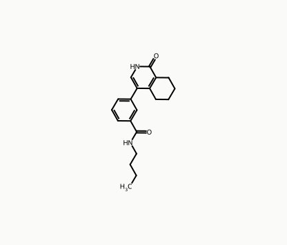 CCCCNC(=O)c1cccc(-c2c[nH]c(=O)c3c2CCCC3)c1